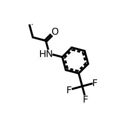 [CH2]CC(=O)Nc1cccc(C(F)(F)F)c1